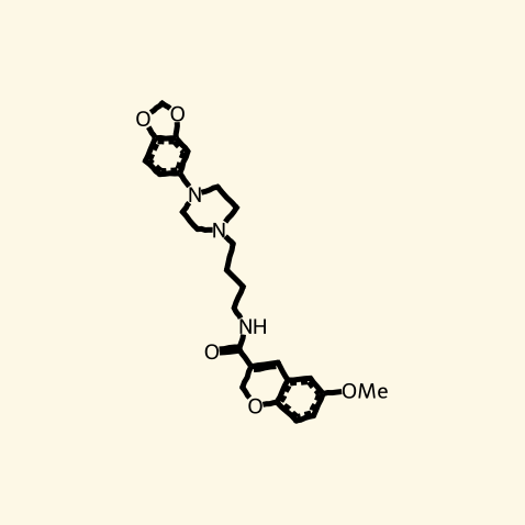 COc1ccc2c(c1)C=C(C(=O)NCCCCN1CCN(c3ccc4c(c3)OCO4)CC1)CO2